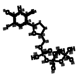 O=c1[nH]c(=S)n([C@H]2CC[C@@H](COP(=O)(O)OP(=O)(O)OP(=O)(O)O)O2)cc1F